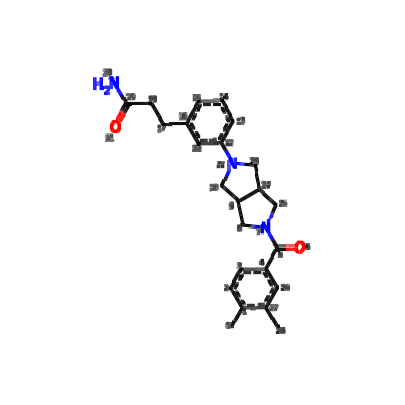 Cc1ccc(C(=O)N2CC3CN(c4cccc(CCC(N)=O)c4)CC3C2)cc1C